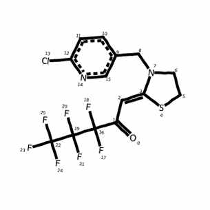 O=C(C=C1SCCN1Cc1ccc(Cl)nc1)C(F)(F)C(F)(F)C(F)(F)F